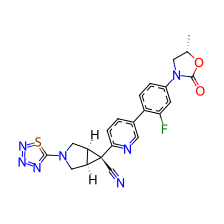 C[C@H]1CN(c2ccc(-c3ccc([C@@]4(C#N)[C@@H]5CN(c6nnns6)C[C@@H]54)nc3)c(F)c2)C(=O)O1